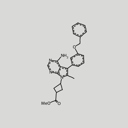 COC(=O)C1CC(n2c(C)c(-c3cccc(OCc4ccccc4)c3)c3c(N)ncnc32)C1